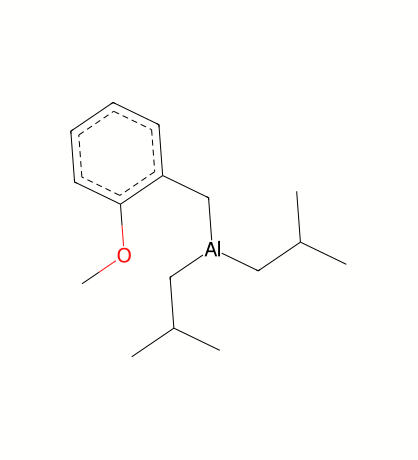 COc1ccccc1[CH2][Al]([CH2]C(C)C)[CH2]C(C)C